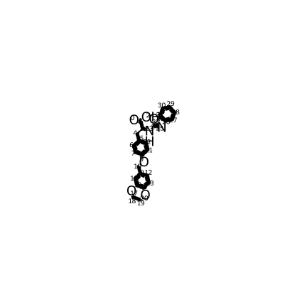 O=C(O)[C@H](Cc1ccc(OCc2ccc3c(c2)OCCO3)cc1)Nc1nc2ccccc2o1